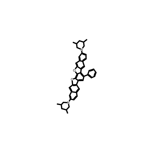 CC1CC(C)CN(c2ccc3cc4c(cc3c2)oc2c4cc(-c3ccccc3)c3c4cc5ccc(N6CC(C)CC(C)C6)cc5cc4oc23)C1